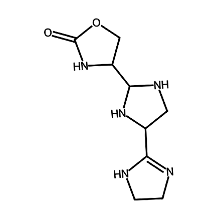 O=C1NC(C2NCC(C3=NCCN3)N2)CO1